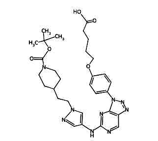 CC(C)(C)OC(=O)N1CCC(CCn2cc(Nc3ncc4nnn(-c5ccc(OCCCCC(=O)O)cc5)c4n3)cn2)CC1